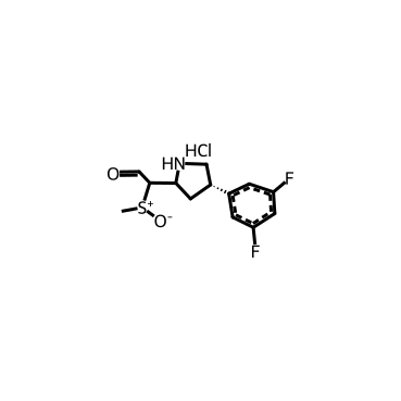 C[S+]([O-])C(C=O)C1C[C@@H](c2cc(F)cc(F)c2)CN1.Cl